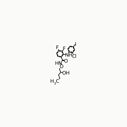 CCCC(O)CONC(=O)c1ccc(F)c(F)c1Nc1ccc(I)cc1Cl